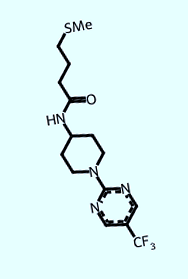 CSCCCC(=O)NC1CCN(c2ncc(C(F)(F)F)cn2)CC1